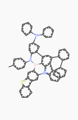 Cc1ccc(N2B3c4cc5sc6ccccc6c5cc4-n4c5ccccc5c5c(-c6ccccc6-c6ccccc6)cc(c3c54)-c3cc(N(c4ccccc4)c4ccccc4)ccc32)cc1